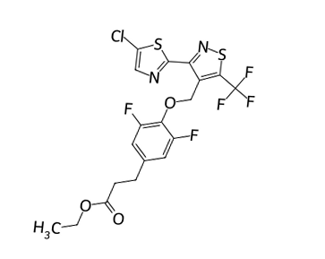 CCOC(=O)CCc1cc(F)c(OCc2c(-c3ncc(Cl)s3)nsc2C(F)(F)F)c(F)c1